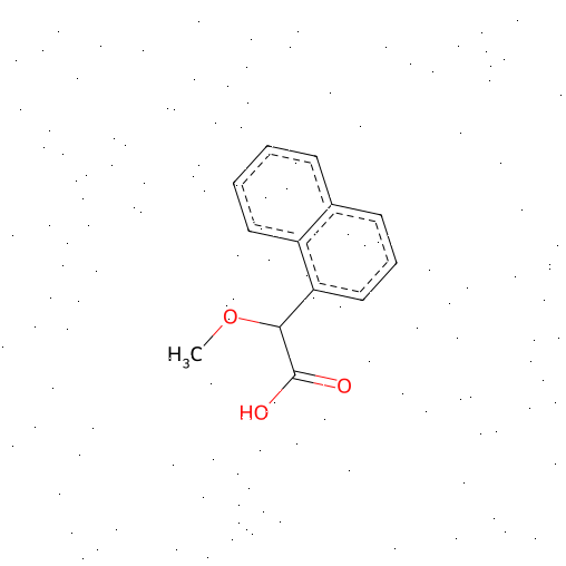 COC(C(=O)O)c1cccc2ccccc12